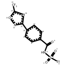 CCS(=O)(=O)NC(=O)c1ccc(-c2noc(C(F)(F)F)n2)cc1